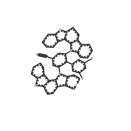 N#Cc1cc(-n2c3ccccc3c3ccc4oc5ccccc5c4c32)c(-c2cc(F)cc(F)c2)c(-n2c3ccccc3c3ccc4oc5ccccc5c4c32)c1